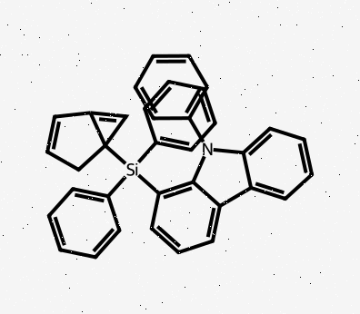 C1=CC2=CC2([Si](c2ccccc2)(c2ccccc2)c2cccc3c4ccccc4n(-c4ccccc4)c23)C1